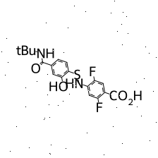 CC(C)(C)NC(=O)c1ccc(SNc2cc(F)c(C(=O)O)cc2F)c(O)c1